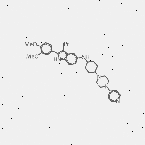 COc1ccc(-c2[nH]c3ccc(NC4CCC(N5CCN(c6ccncc6)CC5)CC4)cc3c2C(C)C)cc1OC